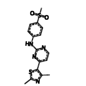 Cc1nc(C)c(-c2ccnc(Nc3ccc(S(C)(=O)=O)cc3)n2)s1